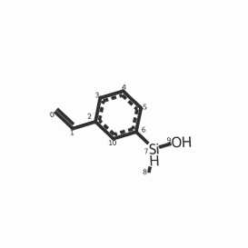 C=Cc1cccc([SiH](C)O)c1